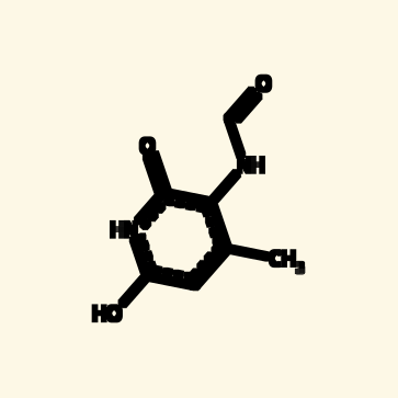 Cc1cc(O)[nH]c(=O)c1NC=O